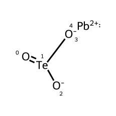 O=[Te]([O-])[O-].[Pb+2]